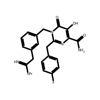 CCCC(=N)Cc1cccc(Cn2c(Cc3ccc(F)cc3)nc(C(N)=O)c(O)c2=O)c1